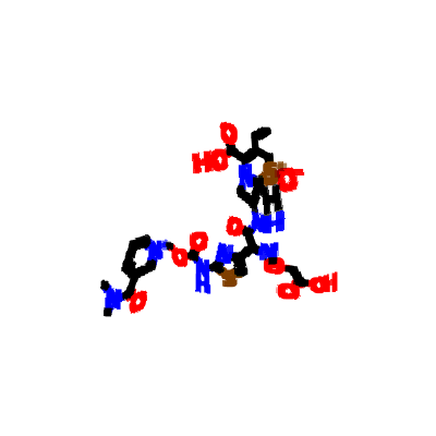 C=CC1=C(C(=O)O)N2C[C@@H](NC(=O)C(=NOCC(=O)O)c3csc(NC(=O)OC[n+]4cccc(C(=O)N(C)C)c4)n3)[C@H]2[S+]([O-])C1